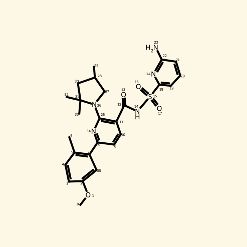 COc1ccc(C)c(-c2ccc(C(=O)NS(=O)(=O)c3cccc(N)n3)c(N3CC(C)CC3(C)C)n2)c1